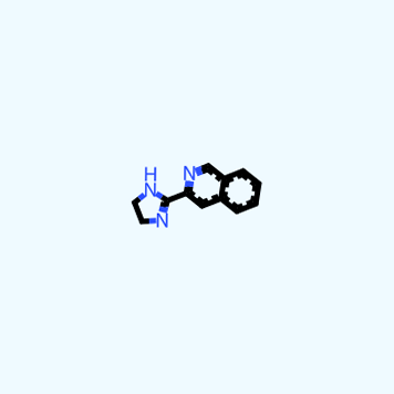 c1ccc2cc(C3=NCCN3)ncc2c1